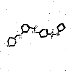 O=C(Nc1ccc(S(=O)(=O)Nc2ccccc2)cc1)c1cccc(NCC2CCNCC2)c1